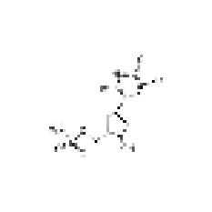 CCc1cn(C2CC(O)C(COS(C)(=O)=O)C2)c(=O)[nH]c1=O